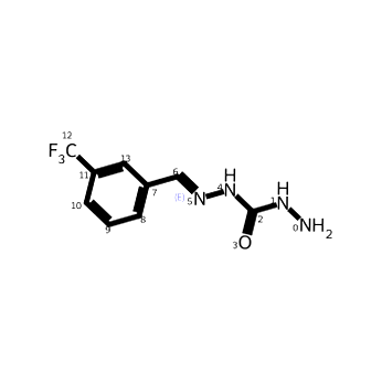 NNC(=O)N/N=C/c1cccc(C(F)(F)F)c1